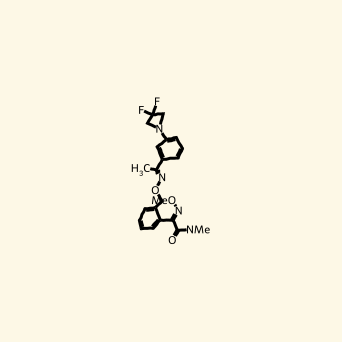 CNC(=O)/C(=N/OC)c1ccccc1CO/N=C(\C)c1cccc(N2CC(F)(F)C2)c1